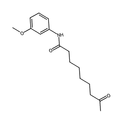 COc1cccc(NC(=O)CCCCCCC(C)=O)c1